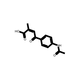 CC(=O)Nc1ccc(C(=O)C=C(C)C(=O)O)cc1